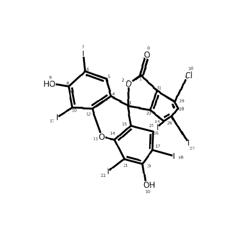 O=C1OC2(c3cc(I)c(O)c(I)c3Oc3c2cc(I)c(O)c3I)c2c(I)c(I)cc(Cl)c21